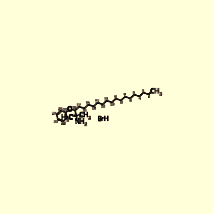 Br.CCCCCCCCCCCCCCCCCC(Oc1ccccc1)C(C)(C)N